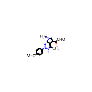 COc1ccc(NNC(C)=C2CN(C)CC2C(=O)C=O)cc1